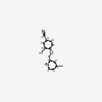 Cc1ccnc(COc2ccc(C#N)cc2I)c1